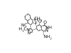 CCOc1cc(-c2cnn(C)c2-c2c(F)c(C)c3ccccc3c2C#N)cc2c(CN)n[nH]c(=O)c12